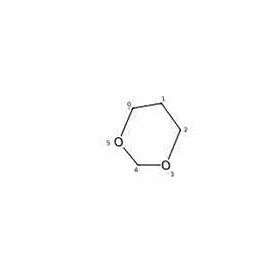 [CH]1CCOCO1